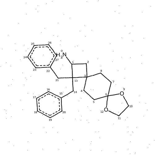 NC1CC2(CCC3(CC2)OCCO3)C1(Cc1ccccc1)Cc1ccccc1